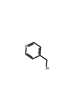 CC(C)[CH]c1ccncc1